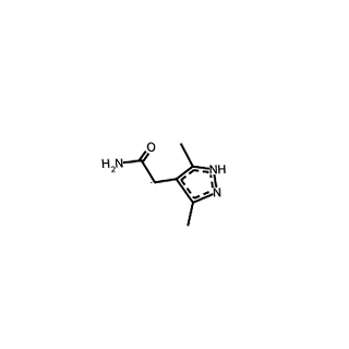 Cc1n[nH]c(C)c1[CH]C(N)=O